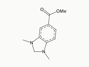 COC(=O)c1ccc2c(c1)N(C)CN2C